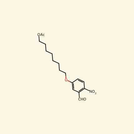 CC(=O)OCCCCCCCCOc1ccc([N+](=O)[O-])c(C=O)c1